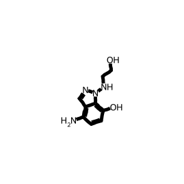 Nc1ccc(O)c2c1cnn2NCCO